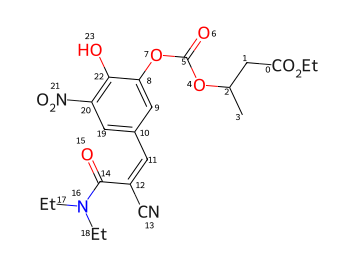 CCOC(=O)CC(C)OC(=O)Oc1cc(C=C(C#N)C(=O)N(CC)CC)cc([N+](=O)[O-])c1O